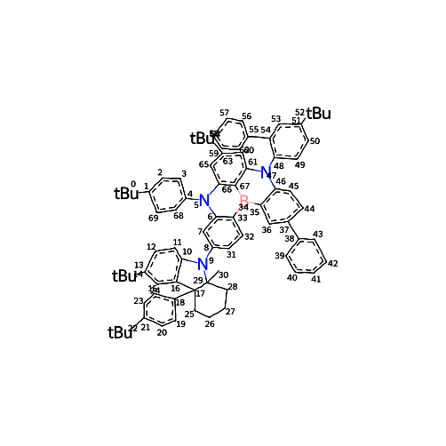 CC(C)(C)c1ccc(N2c3cc(N4c5ccc(C(C)(C)C)cc5C5(c6ccc(C(C)(C)C)cc6)CCCCC45C)ccc3B3c4cc(-c5ccccc5)ccc4N(c4ccc(C(C)(C)C)cc4-c4ccccc4)c4cc(C(C)(C)C)cc2c43)cc1